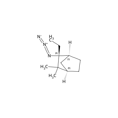 CC[C@@]1(N=[N+]=[N-])[C@H]2CC[C@H](C2)C1(C)C